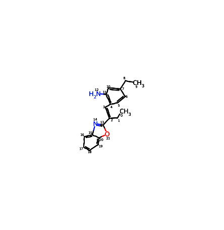 CCC(=Cc1ccc(CC)cc1N)c1nc2ccccc2o1